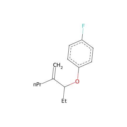 C=C(CCC)C(CC)Oc1ccc(F)cc1